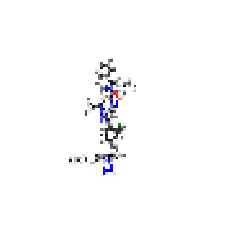 C[C@@H]1c2ccccc2CCN1C(=O)c1cc(C2CC2)n2nc(-c3ccc([C@H]4C[C@@H]4NC(=O)O)cc3F)cc2n1